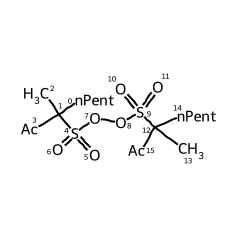 CCCCCC(C)(C(C)=O)S(=O)(=O)OOS(=O)(=O)C(C)(CCCCC)C(C)=O